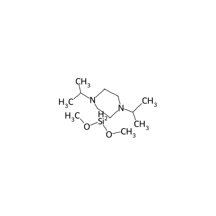 CC(C)N1CCN(C(C)C)CC1.CO[SiH2]OC